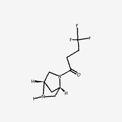 O=C(CCC(F)(F)F)N1C[C@@H]2C[C@H]1CN2I